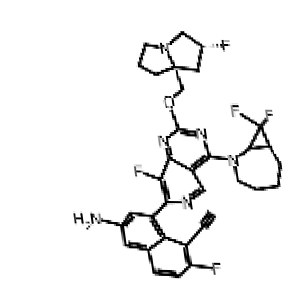 C#Cc1c(F)ccc2cc(N)cc(-c3ncc4c(N5CCCCC6C5C6(F)F)nc(OC[C@@]56CCCN5C[C@H](F)C6)nc4c3F)c12